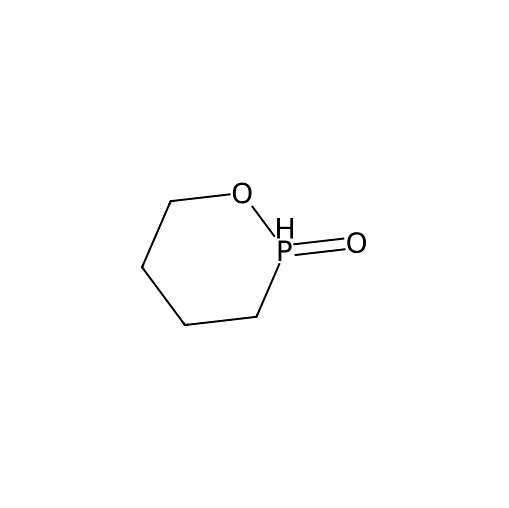 O=[PH]1CCCCO1